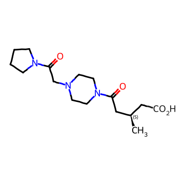 C[C@H](CC(=O)O)CC(=O)N1CCN(CC(=O)N2CCCC2)CC1